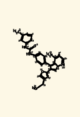 Cc1ccnc(NC(=O)Nc2ccc(-c3c(-c4nc(CO)co4)cn4ncnc(N)c34)cc2)c1